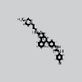 CN1CCN(CCCNc2ncc3c(n2)-c2ccccc2C(c2ccc(NC(=O)Nc4ccc(Br)cc4)cc2)C3)CC1